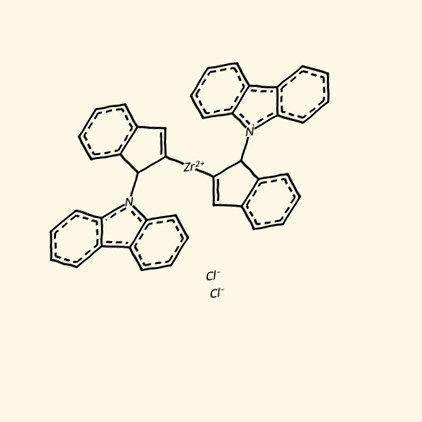 C1=[C]([Zr+2][C]2=Cc3ccccc3C2n2c3ccccc3c3ccccc32)C(n2c3ccccc3c3ccccc32)c2ccccc21.[Cl-].[Cl-]